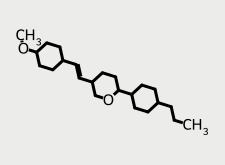 CCCC1CCC(C2CCC(/C=C/C3CCC(OC)CC3)CO2)CC1